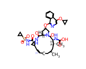 C[C@@H]1CC/C=C\C2C[C@@]2(C(=O)NS(=O)(=O)C2CC2)NC(=O)[C@@H]2C[C@@H](Oc3ncc(OC4CC4)c4ccccc34)CN2C(=O)[C@@H](NC(=O)O)[C@H](C)C1